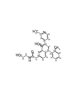 Cc1cc(C(C[C@H](c2ccc(CC(=O)NCCO)cc2)c2ccccc2C)=NO)ccn1